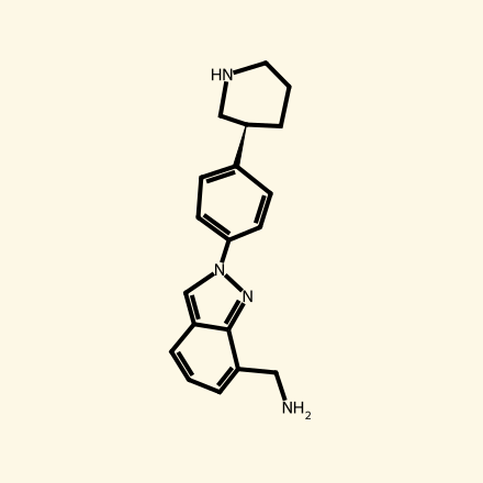 NCc1cccc2cn(-c3ccc([C@@H]4CCCNC4)cc3)nc12